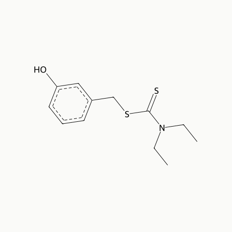 CCN(CC)C(=S)SCc1cccc(O)c1